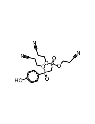 N#CCCOP(=O)(CP(=O)(OCCC#N)c1ccc(O)cc1)OCCC#N